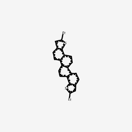 CCc1cc2ccc3c4ccc5c(ccc6cc(CC)sc65)c4ccc3c2s1